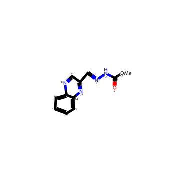 COC(=O)NN=Cc1cnc2ccccc2n1